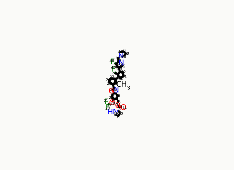 Cc1c(-c2nc3cc(COC(=O)[C@@H]4CCCN4)c(OC(F)F)cc3o2)cccc1-c1cccc(-c2cnc(CN3CCCC3)c(F)c2)c1CF